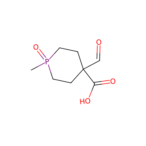 CP1(=O)CCC(C=O)(C(=O)O)CC1